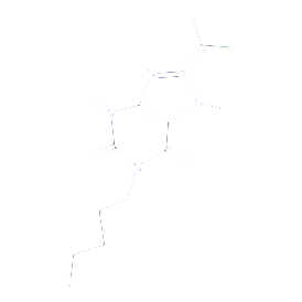 CC(=O)CCCCn1c(=O)c2c(nc(C(F)F)n2C)n(C)c1=O